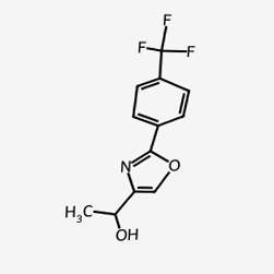 CC(O)c1coc(-c2ccc(C(F)(F)F)cc2)n1